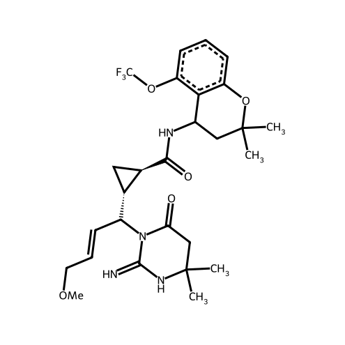 COC/C=C/C([C@@H]1C[C@H]1C(=O)NC1CC(C)(C)Oc2cccc(OC(F)(F)F)c21)N1C(=N)NC(C)(C)CC1=O